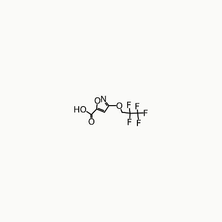 O=C(O)c1cc(OCC(F)(F)C(F)(F)F)no1